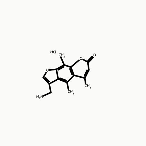 Cc1c2oc(=O)cc(C)c2c(C)c2c(CN)coc12.Cl